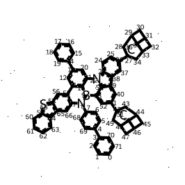 c1ccc(-c2ccc(N3B4c5c(cc(-c6ccccc6)cc5-n5c6ccc(C78CC9CC%10CC(C7)C%109C8)cc6c6cc(C78CC9CC%10CC(C7)C%109C8)cc4c65)-c4cc5sc6ccccc6c5cc43)cc2)cc1